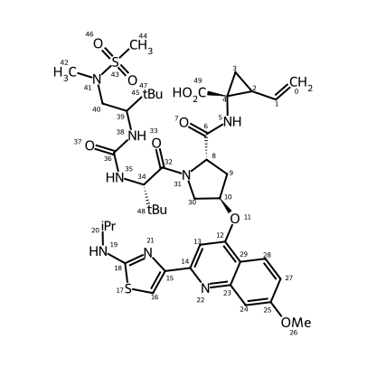 C=CC1C[C@]1(NC(=O)[C@@H]1C[C@@H](Oc2cc(-c3csc(NC(C)C)n3)nc3cc(OC)ccc23)CN1C(=O)[C@@H](NC(=O)NC(CN(C)S(C)(=O)=O)C(C)(C)C)C(C)(C)C)C(=O)O